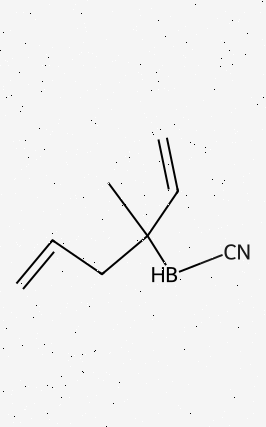 C=CCC(C)(BC#N)C=C